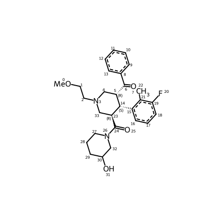 COCCN1C[C@H](C(=O)c2ccccc2)[C@H](c2cccc(F)c2C)[C@@H](C(=O)N2CCCC(O)C2)C1